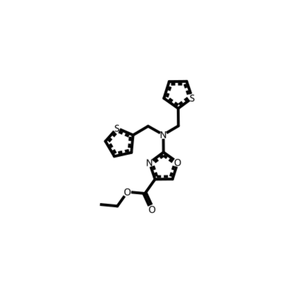 CCOC(=O)c1coc(N(Cc2cccs2)Cc2cccs2)n1